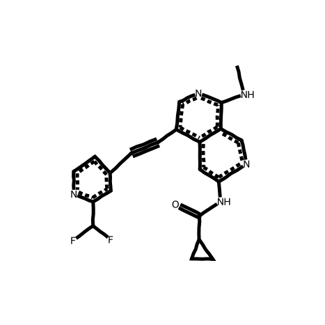 CNc1ncc(C#Cc2ccnc(C(F)F)c2)c2cc(NC(=O)C3CC3)ncc12